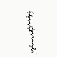 C=CC(=O)NCCCCOCCN1CCN(CCCCNC(=O)C=C)CC1